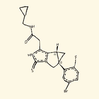 O=C(Cc1[nH]c(=S)n2c1[C@@H]1C[C@]1(c1cc(Br)ccc1F)C2)NCC1CC1